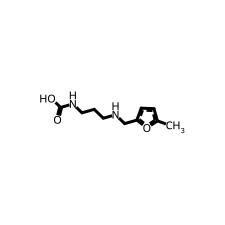 Cc1ccc(CNCCCNC(=O)O)o1